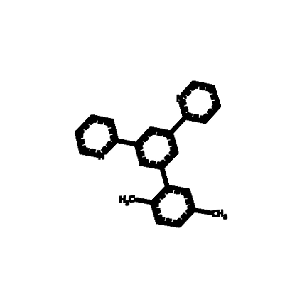 Cc1ccc(C)c(-c2cc(-c3ccccn3)cc(-c3ccccn3)c2)c1